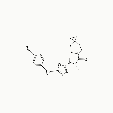 C[C@H](Nc1nnc([C@H]2C[C@H]2c2ccc(C#N)cc2)o1)C(=O)N1CCC2(CC1)CC2